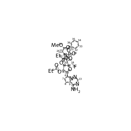 CCC(=O)O[C@H]1[C@H](c2ccc3c(N)ncnn23)O[C@](CF)(COP(=O)(NC(C)C(=O)OC)Oc2ccccc2)[C@H]1OC(=O)CC